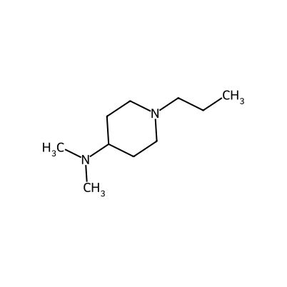 CCCN1CCC(N(C)C)CC1